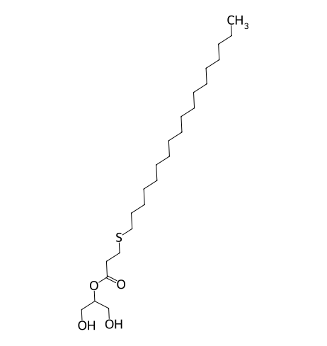 CCCCCCCCCCCCCCCCCCSCCC(=O)OC(CO)CO